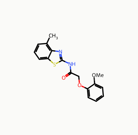 COc1ccccc1OCC(=O)Nc1nc2c(C)cccc2s1